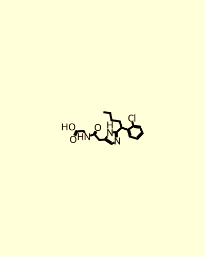 CCCCC(c1ncc(CC(=O)NCC(=O)O)[nH]1)c1ccccc1Cl